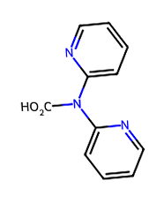 O=C(O)N(c1ccccn1)c1ccccn1